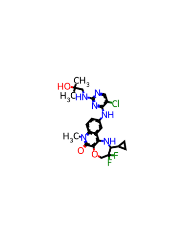 Cn1c(=O)c2c(c3cc(Nc4nc(NCC(C)(C)O)ncc4Cl)ccc31)NC(C1CC1)C(F)(F)CO2